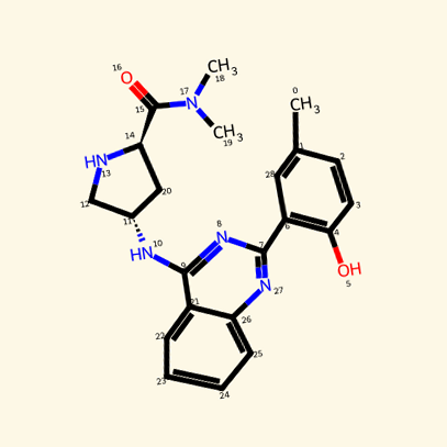 Cc1ccc(O)c(-c2nc(N[C@@H]3CN[C@@H](C(=O)N(C)C)C3)c3ccccc3n2)c1